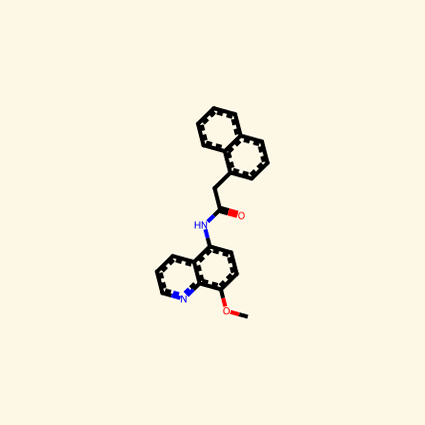 COc1ccc(NC(=O)Cc2cccc3ccccc23)c2cccnc12